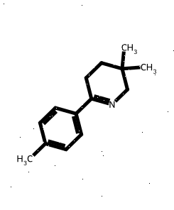 Cc1ccc(C2=NCC(C)(C)CC2)cc1